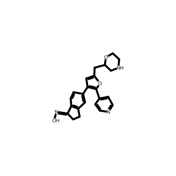 O/N=C1\CCc2cc(-c3cc(CC4CNCCO4)oc3-c3ccncc3)ccc21